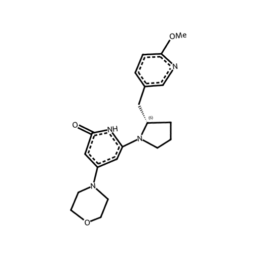 COc1ccc(C[C@@H]2CCCN2c2cc(N3CCOCC3)cc(=O)[nH]2)cn1